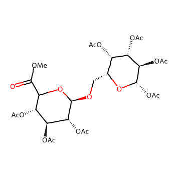 COC(=O)C1O[C@@H](OC[C@H]2O[C@@H](OC(C)=O)[C@H](OC(C)=O)[C@@H](OC(C)=O)[C@H]2OC(C)=O)[C@H](OC(C)=O)[C@@H](OC(C)=O)[C@@H]1OC(C)=O